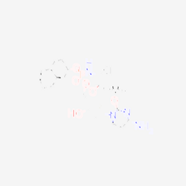 COC(=O)[C@H](C)NP(=O)(OC[C@H]1S[C@@H](n2ccc(N)nc2=O)CC1O)Oc1ccc2ccccc2c1